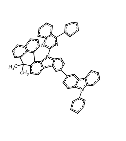 CC1(C)c2ccc3c4cc(-c5ccc6c(c5)c5ccccc5n6-c5ccccc5)ccc4n(-c4nc(-c5ccccc5)c5ccccc5n4)c3c2-c2cccc3cccc1c23